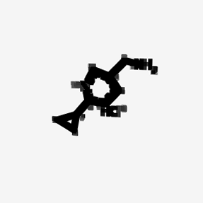 Cl.NCc1ccc(C2CC2)nc1